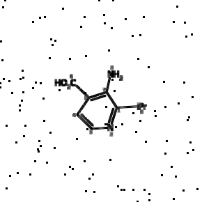 CC(C)c1nccc(C(=O)O)c1N